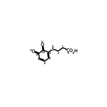 O=C(O)CCSC1=CC=CC(=O)C1=O